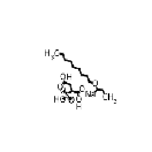 CCCCCCCCCO[CH]([Na])CC.O=C(O)CC(C(=O)O)S(=O)(=O)O